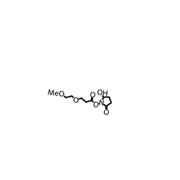 COCCOCCC(=O)ON1C(=O)CCC1O